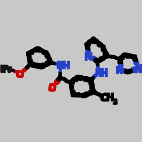 Cc1ccc(C(=O)Nc2cccc(OC(C)C)c2)cc1Nc1ncccc1-c1ccncn1